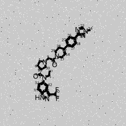 CCN(C(=O)[C@@H]1CCN(CC(=O)N2CC=C(c3ccc(-c4ncn(C)n4)cc3)CC2)C1)c1ccc2[nH]nc(C(F)F)c2c1